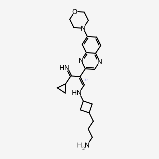 N=C(/C(=C\NC1CC(CCCN)C1)c1cnc2ccc(N3CCOCC3)cc2n1)C1CC1